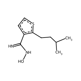 CC(C)CCc1sccc1C(=N)NO